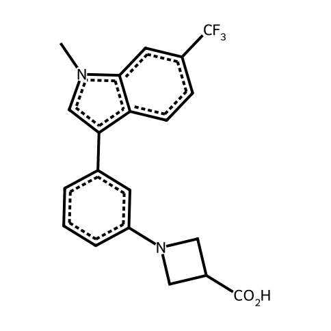 Cn1cc(-c2cccc(N3CC(C(=O)O)C3)c2)c2ccc(C(F)(F)F)cc21